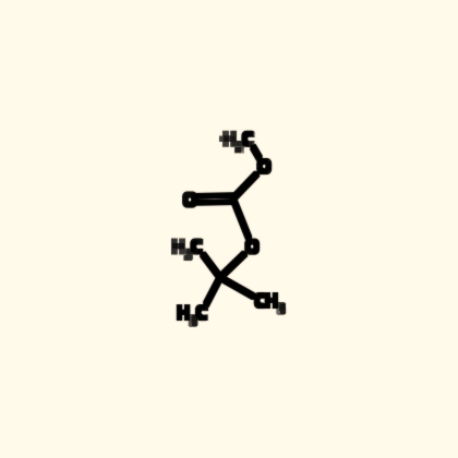 [CH2]OC(=O)OC(C)(C)C